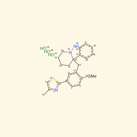 COc1ccc(-c2nc(C)cs2)cc1CC1(c2ccccc2)CCCCN1N.Cl.Cl.Cl